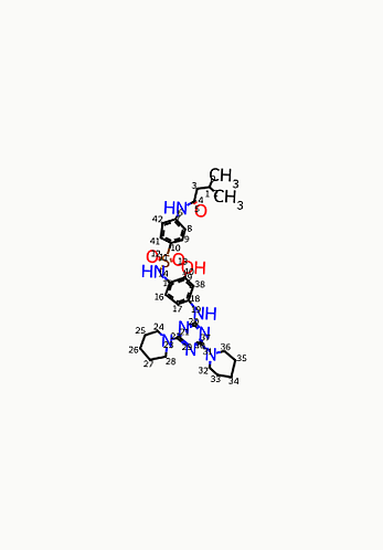 CC(C)CC(=O)Nc1ccc(S(=O)(=O)Nc2ccc(Nc3nc(N4CCCCC4)nc(N4CCCCC4)n3)cc2O)cc1